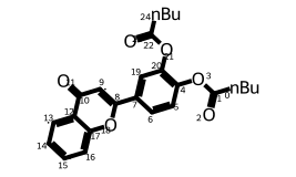 CCCCC(=O)Oc1ccc(-c2[c]c(=O)c3[c]c[c]cc3o2)cc1OC(=O)CCCC